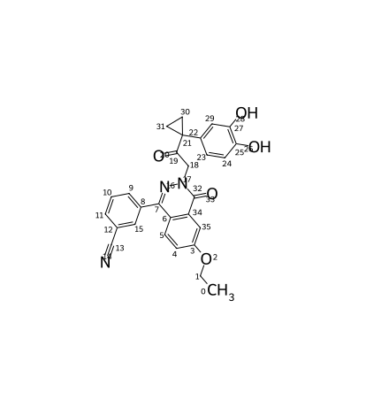 CCOc1ccc2c(-c3cccc(C#N)c3)nn(CC(=O)C3(c4ccc(O)c(O)c4)CC3)c(=O)c2c1